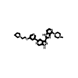 CN1CCN(c2nccc3[nH]c(-c4n[nH]c5cnc(-c6cncc(OCCN7CCCC7)c6)cc45)nc23)CC1